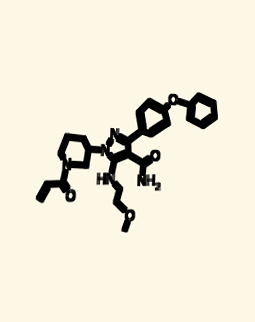 C=CC(=O)N1CCCC(n2nc(-c3ccc(Oc4ccccc4)cc3)c(C(N)=O)c2NCCOC)C1